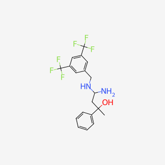 CC(O)(CC(N)NCc1cc(C(F)(F)F)cc(C(F)(F)F)c1)c1ccccc1